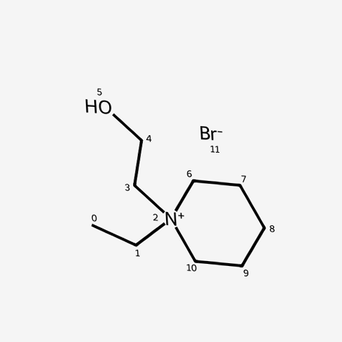 CC[N+]1(CCO)CCCCC1.[Br-]